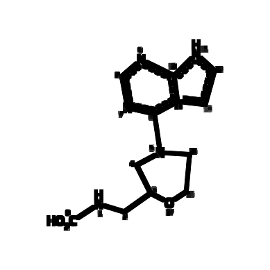 O=C(O)NCC1CN(c2ncnc3[nH]ccc23)CCO1